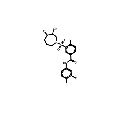 O=C(Nc1ccc(F)c(Cl)c1)c1ccc(F)c(S(=O)(=O)N2CCCC(F)[C@@H](O)C2)c1